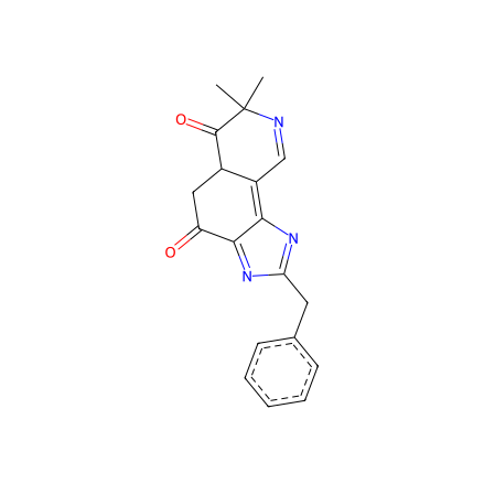 CC1(C)N=CC2=C3N=C(Cc4ccccc4)N=C3C(=O)CC2C1=O